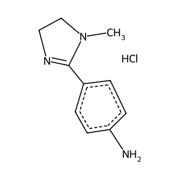 CN1CCN=C1c1ccc(N)cc1.Cl